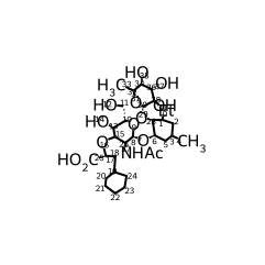 CCC1CC(C)C[C@@H](O[C@@H]2O[C@@H](CO)[C@H](O)C(O[C@@H](CC3CCCCC3)C(=O)O)C2NC(C)=O)[C@H]1O[C@@H]1OC(C)[C@@H](O)[C@H](O)C1O